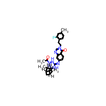 CC(=O)NNC(=Nc1ccc2c(=O)n(CCc3ccc(C)cc3F)cnc2c1)N[C@H]1C[C@H]2C[C@H]([C@H]1C)C2(C)C